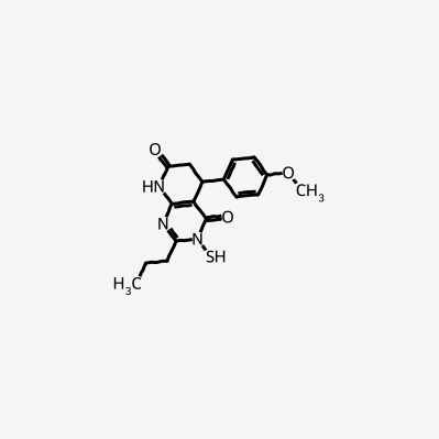 CCCc1nc2c(c(=O)n1S)C(c1ccc(OC)cc1)CC(=O)N2